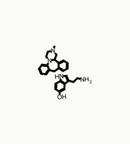 CN1CCN2c3ccccc3Cc3ccccc3C2C1.NCCc1c[nH]c2ccc(O)cc12